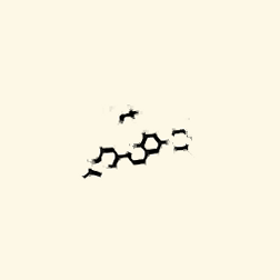 Cc1cn2cc(-c3ccc4cc(N5C[C@H](C)N[C@@H](C)C5)cc(F)c4n3)cc(F)c2n1.O=C(O)C(F)(F)F